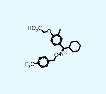 Cc1cc(/C(=N\OCc2ccc(C(F)(F)F)cc2)C2CCCCC2)ccc1OCC(=O)O